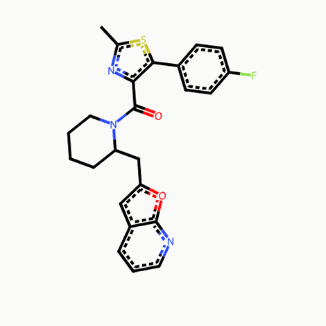 Cc1nc(C(=O)N2CCCCC2Cc2cc3cccnc3o2)c(-c2ccc(F)cc2)s1